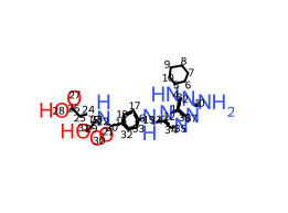 Nc1nc(NC2CCCCC2)c2nc(CNc3ccc(C(=O)N[C@@H](CCC(=O)O)C(=O)O)cc3)cnc2n1